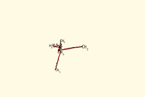 CCCCCCCCC1=C(c2ccc(C)cc2)[N+](=[N-])C(c2cccc(CCCC)c2)=C1CCCC.CCCCCCCCCCCCCCCCCCCCCCCCCCCCC[CH2][Ni][CH2]CCCCCCCCCCCCCCCCCCCCCCCCCCCCC